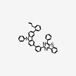 C=CCc1ccccc1-c1ccc2c(c1)c1cc(-c3cccc(-c4nc(-c5ccccc5)c5sc6ccccc6c5n4)c3)ccc1n2-c1ccccc1